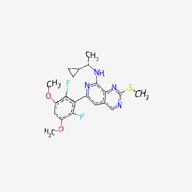 COc1cc(OC)c(F)c(-c2cc3cnc(SC)nc3c(NC(C)C3CC3)n2)c1F